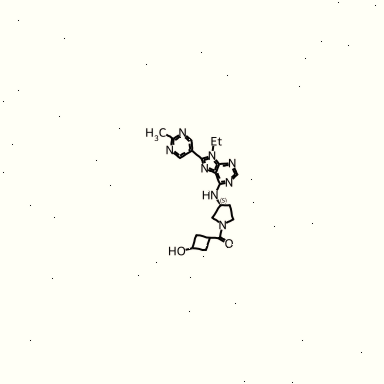 CCn1c(-c2cnc(C)nc2)nc2c(N[C@H]3CCN(C(=O)C4CC(O)C4)C3)ncnc21